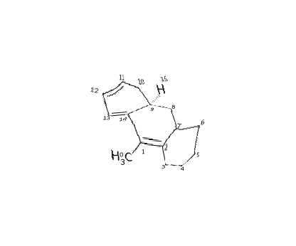 CC1=C2CCCCC2C[C@@H]2CC=CC=C12